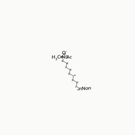 CCCCCCCCCCCCCCCCCC[N+](C)([O-])C(C)=O